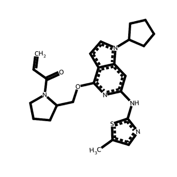 C=CC(=O)N1CCCC1COc1nc(Nc2ncc(C)s2)cc2c1ccn2C1CCCC1